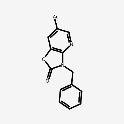 CC(=O)c1cnc2c(c1)oc(=O)n2Cc1ccccc1